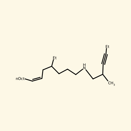 CCC#CC(C)CNCCCC(CC)C/C=C\CCCCCCCC